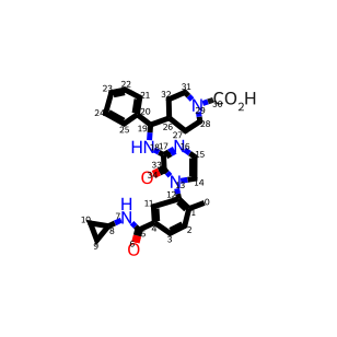 Cc1ccc(C(=O)NC2CC2)cc1-n1ccnc(NC(c2ccccc2)C2CCN(C(=O)O)CC2)c1=O